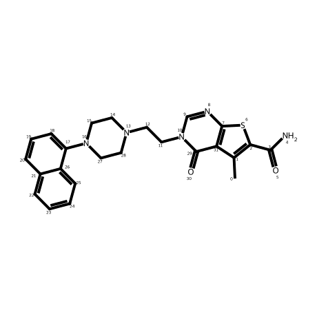 Cc1c(C(N)=O)sc2ncn(CCN3CCN(c4cccc5ccccc45)CC3)c(=O)c12